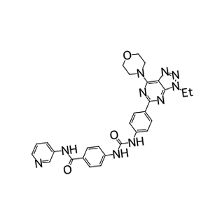 CCn1nnc2c(N3CCOCC3)nc(-c3ccc(NC(=O)Nc4ccc(C(=O)Nc5cccnc5)cc4)cc3)nc21